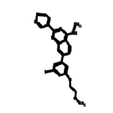 CNc1nc(-c2cccnc2)nc2cc(-c3cc(F)cc(OCCOC)c3)ccc12